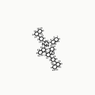 c1ccc2cc(-c3nc(-c4ccc(-c5cccc6ccccc56)cc4)nc(-c4cc(-c5ccc(-c6ccc(-c7cccc8ccccc78)cc6)c6oc7ccccc7c56)c5ccccc5c4)n3)ccc2c1